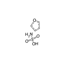 NS(=O)(=O)O.c1ccoc1